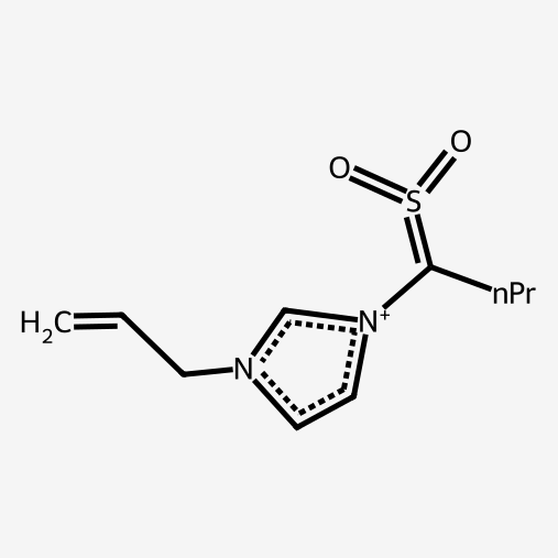 C=CCn1cc[n+](C(CCC)=S(=O)=O)c1